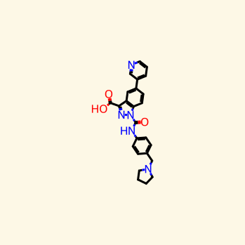 O=C(O)c1nn(C(=O)Nc2ccc(CN3CCCC3)cc2)c2ccc(-c3cccnc3)cc12